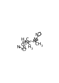 Cc1cc(-c2ccccn2)nn1CCC(C)(C)NCC(=O)N1CCC[C@H]1C#N